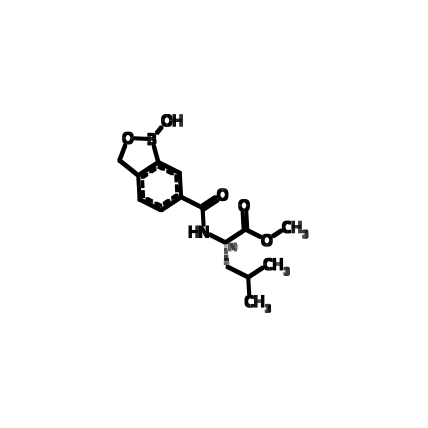 COC(=O)[C@H](CC(C)C)NC(=O)c1ccc2c(c1)B(O)OC2